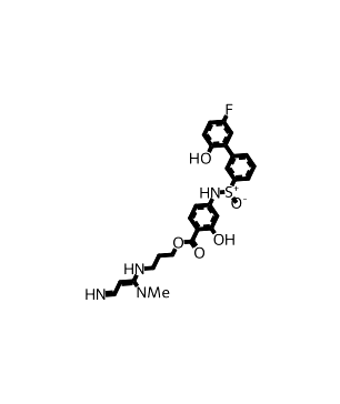 CN/C(=C\C=N)NCCCOC(=O)c1ccc(N[S+]([O-])c2cccc(-c3cc(F)ccc3O)c2)cc1O